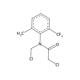 Cc1cccc(C(F)(F)F)c1N(CCl)C(=O)CCl